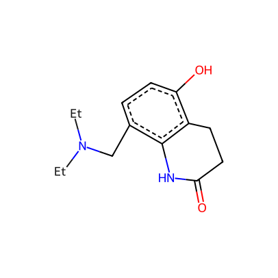 CCN(CC)Cc1ccc(O)c2c1NC(=O)CC2